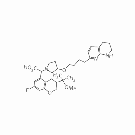 COC(C)(C)[C@H]1COc2cc(F)cc(C(C(=O)O)N3CC[C@@H](OCCCCc4ccc5c(n4)NCCC5)C3)c2C1